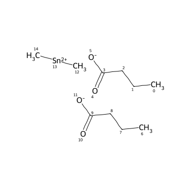 CCCC(=O)[O-].CCCC(=O)[O-].[CH3][Sn+2][CH3]